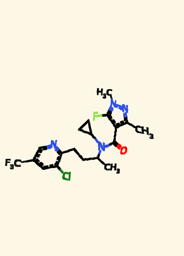 Cc1nn(C)c(F)c1C(=O)N(C(C)CCc1ncc(C(F)(F)F)cc1Cl)C1CC1